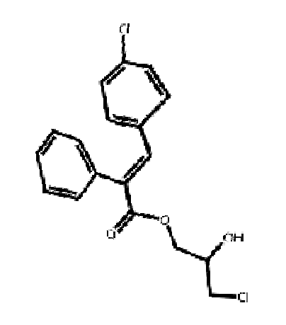 O=C(OCC(O)CCl)/C(=C/c1ccc(Cl)cc1)c1ccccc1